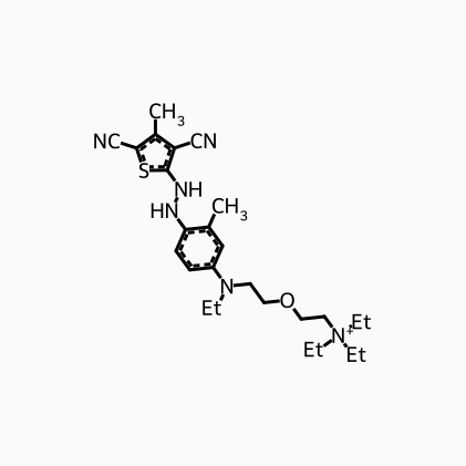 CCN(CCOCC[N+](CC)(CC)CC)c1ccc(NNc2sc(C#N)c(C)c2C#N)c(C)c1